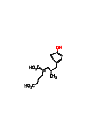 CC(Cc1ccc(O)cc1)C[C@@H](CCCC(=O)O)C(=O)O